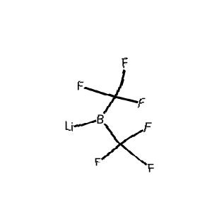 [Li][B](C(F)(F)F)C(F)(F)F